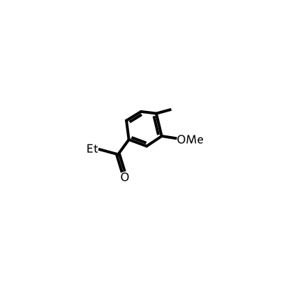 CCC(=O)c1ccc(C)c(OC)c1